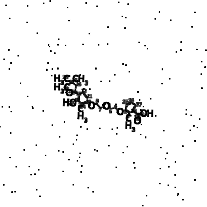 Cc1c(OCCOCCOc2ccc(C(=O)CC(C)(C)C)c(O)c2C)cccc1C(=O)O